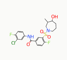 CC1CN(S(=O)(=O)c2cc(C(=O)Nc3ccc(F)c(Cl)c3)ccc2F)CCCC1O